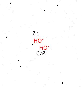 [Ca+2].[OH-].[OH-].[Zn]